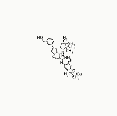 CCc1cc(O[Si](C)(C)C(C)(C)C)ccc1/N=C(\N)c1cnn2cc(-c3cccc(CO)c3)cc2c1N[C@@H]1CC[C@](C)(N)C1(C)C